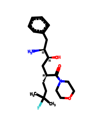 CC(C)(F)CC[C@H](C[C@H](O)[C@@H](N)Cc1ccccc1)C(=O)N1CCOCC1